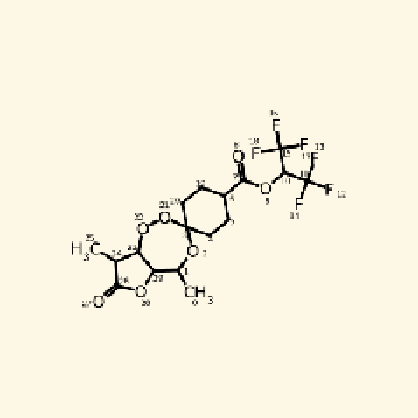 CC1OC2(CCC(C(=O)OC(C(F)(F)F)C(F)(F)F)CC2)OOC2C(C)C(=O)OC12